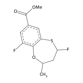 COC(=O)c1cc(F)c2c(c1)SC(F)CC(C)O2